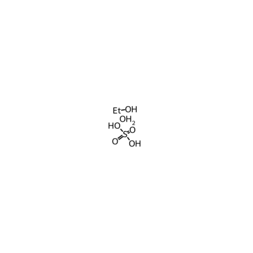 CCO.O.O=S(=O)(O)O